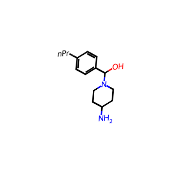 CCCc1ccc(C(O)N2CCC(N)CC2)cc1